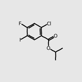 CC(C)OC(=O)c1cc(I)c(F)cc1Cl